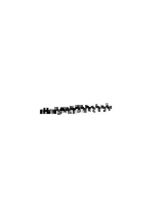 [CH]=C/C=C/C=C/C=C/C=C/C=C/C=C/C=C/C=C/C=C/C=C/CCCCCC